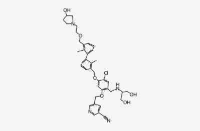 Cc1c(COCCN2CCC(O)C2)cccc1-c1cccc(COc2cc(OCc3cncc(C#N)c3)c(CNC(CO)CO)cc2Cl)c1C